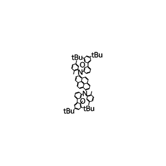 Cc1ccc(C)c(N(c2ccc3ccc4c(N(c5cc(C)ccc5C)c5cccc6c5oc5c(C(C)(C)C)cc(C(C)(C)C)cc56)ccc5ccc2c3c54)c2cccc3c2oc2c(C(C)(C)C)cc(C(C)(C)C)cc23)c1